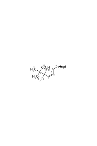 CCCCCCCC/C=C\C(C)(C)C(C)(C)C(=O)O